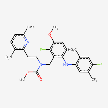 COc1ccc([N+](=O)[O-])c(CCN(Cc2c(Nc3cc(C(F)(F)F)c(F)cc3C(=O)O)ccc(OC(F)(F)F)c2F)C(=O)OC(C)(C)C)n1